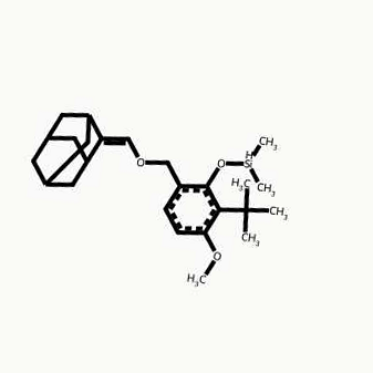 COc1ccc(COC=C2C3CC4CC(C3)CC2C4)c(O[SiH](C)C)c1C(C)(C)C